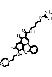 N=C(N)NCCCCNC(=O)c1cn2c3c(c(NCCN4CCOCC4)c(F)cc3c1=O)Oc1ccccc1-2